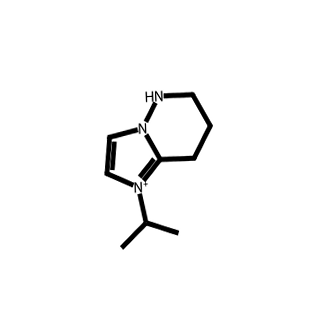 CC(C)[n+]1ccn2c1CCCN2